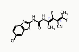 C/C(NC(=O)Nc1nc2ccc(Cl)cc2s1)=C(F)\C(C#N)=C(/C)F